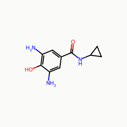 Nc1cc(C(=O)NC2CC2)cc(N)c1O